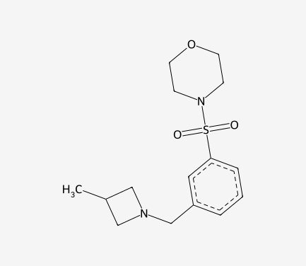 CC1CN(Cc2cccc(S(=O)(=O)N3CCOCC3)c2)C1